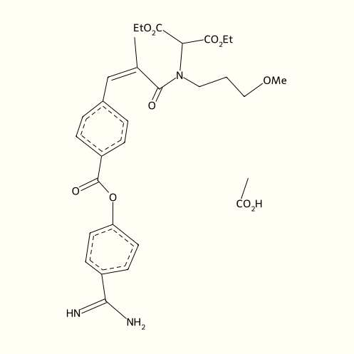 CC(=O)O.CCOC(=O)C(C(=O)OCC)N(CCCOC)C(=O)C(C)=Cc1ccc(C(=O)Oc2ccc(C(=N)N)cc2)cc1